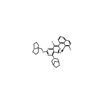 C#Cc1c(F)ccc2cccc(-c3ncc4c(N5CC6CCC(C6)C5)nc(OCC56CCCN5CCC6)nc4c3F)c12